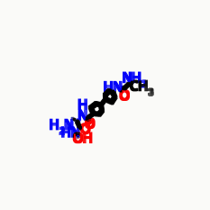 C[C@@H](N)C(=O)Nc1ccc(-c2ccc(C(=O)N[C@@H](CN)C(=O)NO)cc2)cc1